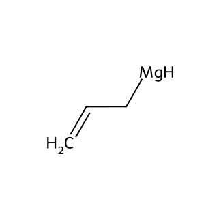 C=C[CH2][MgH]